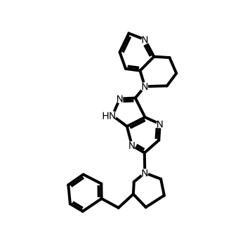 c1ccc(CC2CCCN(c3cnc4c(N5CCCc6ncccc65)n[nH]c4n3)C2)cc1